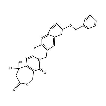 CCC1(O)CC(=O)OCc2c1ccn(Cc1cc3cc(OCc4ccccc4)ccc3nc1I)c2=O